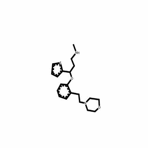 CNCCC(Oc1ccccc1CCN1CCOCC1)c1cccs1